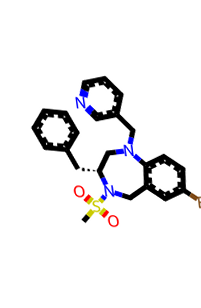 CS(=O)(=O)N1Cc2cc(Br)ccc2N(Cc2cccnc2)C[C@H]1Cc1ccccc1